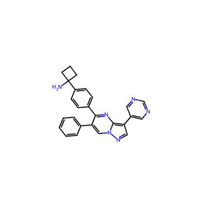 NC1(c2ccc(-c3nc4c(-c5cncnc5)cnn4cc3-c3ccccc3)cc2)CCC1